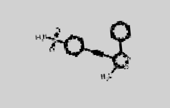 Cc1onc(-c2ccccc2)c1C#Cc1ccc(S(N)(=O)=O)cc1